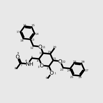 COC1OC(CNC(C)=O)C(OCc2ccccc2)C(C)C1OCc1ccccc1